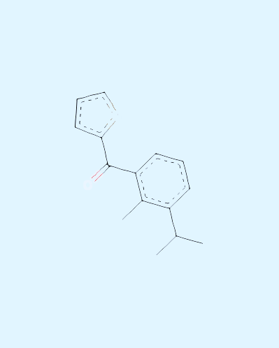 Cc1c(C(=O)c2cccs2)cccc1C(C)C